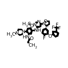 C=CC(=O)Nc1cc(Nc2cc(N3OCC[C@@H]3c3ccc(F)c(Oc4cccc(C(F)(F)F)c4)c3)ncn2)c(OC)cc1N1CCN(C)CC1